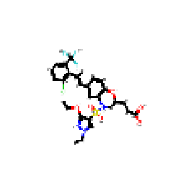 CCOc1nn(CC)cc1S(=O)(=O)N1CC(CCC(=O)O)Oc2ccc(C=C(C)c3c(Cl)cccc3C(F)(F)F)cc21